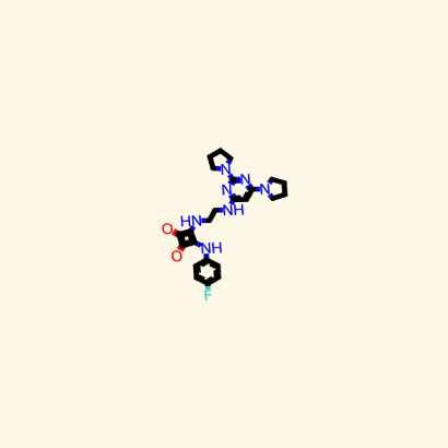 O=c1c(NCCNc2cc(N3CCCC3)nc(N3CCCC3)n2)c(Nc2ccc(F)cc2)c1=O